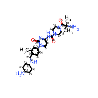 Cc1cc(-n2ccc(NC(=O)N3CCN(C(=O)C(C)(C)N)CC3)nc2=O)ccc1CN[C@H]1CC[C@H](N)CC1